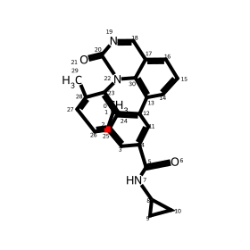 Cc1ccc(C(=O)NC2CC2)cc1-c1cccc2cnc(=O)n(-c3ccccc3C)c12